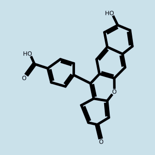 O=C(O)c1ccc(-c2c3ccc(=O)cc-3oc3cc4ccc(O)cc4cc23)cc1